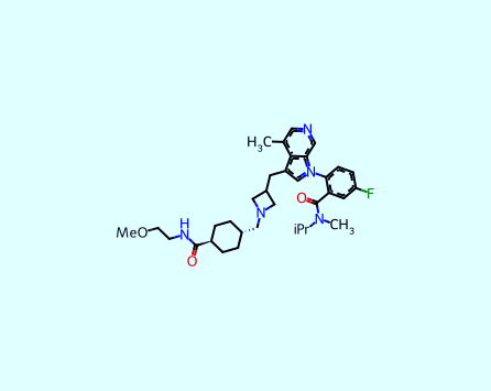 COCCNC(=O)[C@H]1CC[C@H](CN2CC(Cc3cn(-c4ccc(F)cc4C(=O)N(C)C(C)C)c4cncc(C)c34)C2)CC1